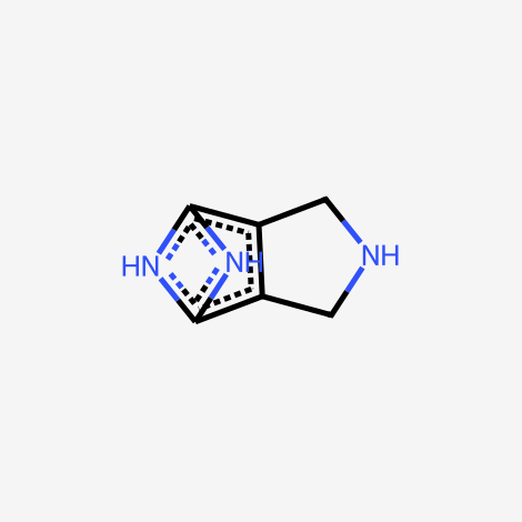 C1NCc2c1c1[nH]c2[nH]1